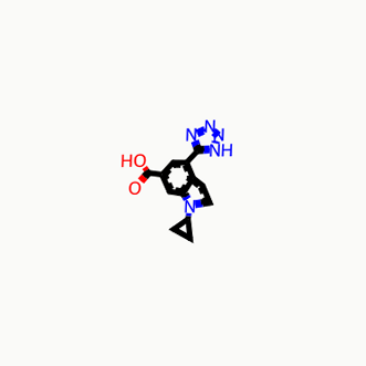 O=C(O)c1cc(-c2nnn[nH]2)c2ccn(C3CC3)c2c1